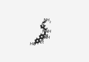 CCc1cc(O)ccc1-c1ccc2c(-c3nc(C4=CCN(CCN)C4)c[nH]3)n[nH]c2c1F